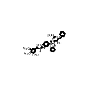 COc1cc(C(=O)Nc2nc3cc(S(=O)(=O)N(C[C@H](O)[C@H](Cc4ccccc4)NC(=O)OC(C)(C)C)OC4CCCC4)ccc3[nH]2)cc(OC)c1OC